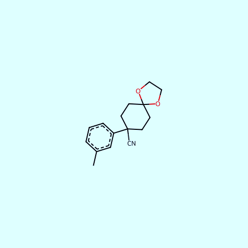 Cc1cccc(C2(C#N)CCC3(CC2)OCCO3)c1